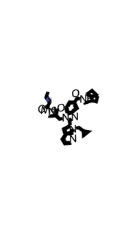 C/C=C/C(=O)N1CC(Cn2c(-c3cc4cccnc4n3CC3CC3)nc3cc(C(=O)N4CC5CC6CC4[C@H]65)cc(OC)c32)C1